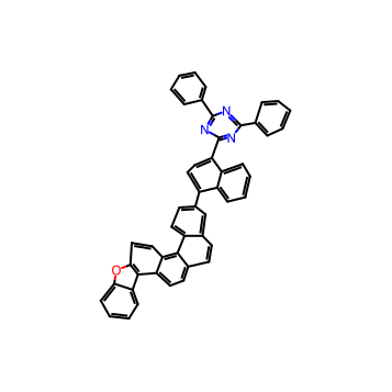 c1ccc(-c2nc(-c3ccccc3)nc(-c3ccc(-c4ccc5c(ccc6ccc7c(ccc8oc9ccccc9c87)c65)c4)c4ccccc34)n2)cc1